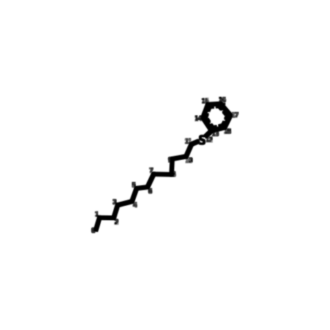 CCCCCCCCCCCCSc1cc[c]cc1